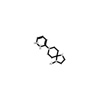 CC(=O)N1CCOC12CCN(C1=CC=[C]NN1)CC2